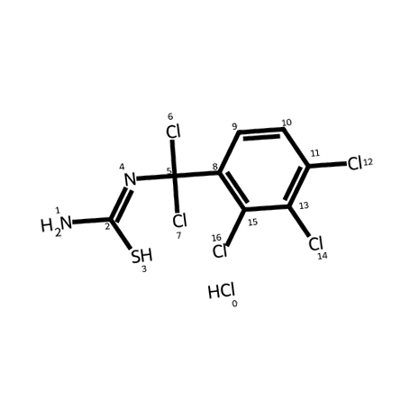 Cl.NC(S)=NC(Cl)(Cl)c1ccc(Cl)c(Cl)c1Cl